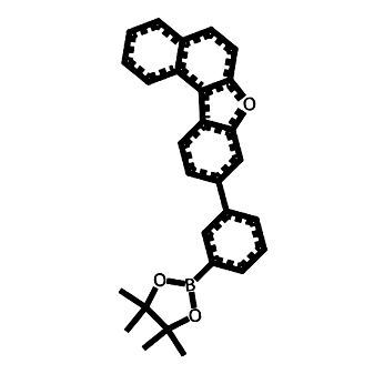 CC1(C)OB(c2cccc(-c3ccc4c(c3)oc3ccc5ccccc5c34)c2)OC1(C)C